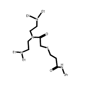 CCN(CC)CCN(CCN(CC)CC)C(=O)CSCCC(=O)NC(C)C